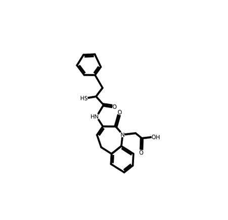 O=C(O)CN1C(=O)C(NC(=O)C(S)Cc2ccccc2)=CCc2ccccc21